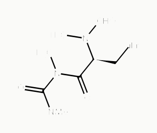 CNC(=O)N(C)C(=O)[C@H](CC(C)C)N(C)C=O